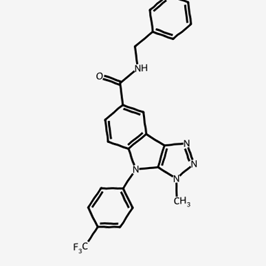 Cn1nnc2c3cc(C(=O)NCc4cccnc4)ccc3n(-c3ccc(C(F)(F)F)cc3)c21